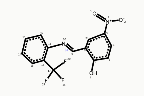 O=[N+]([O-])c1ccc(O)c(/C=N/c2ccccc2C(F)(F)F)c1